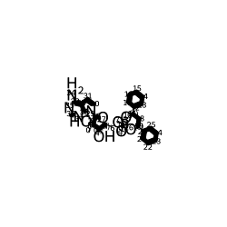 C[C@@]1(O)[C@H](O)[C@@H](CO[P@@]2(=O)O[C@H](c3ccccc3)C[C@H](c3ccccc3)O2)O[C@H]1n1ccc2c(N)ncnc21